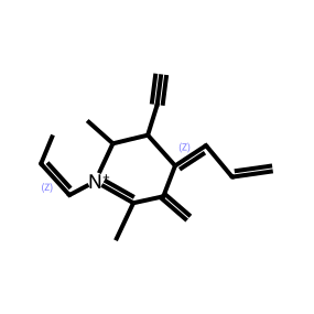 C#CC1/C(=C/C=C)C(=C)C(C)=[N+](/C=C\C)C1C